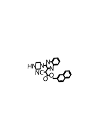 N#CC(C(=O)OCc1ccc2ccccc2c1)c1nc2ccccc2nc1N1CCNCC1